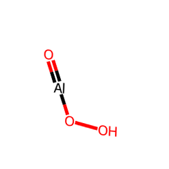 [O]=[Al][O]O